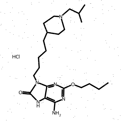 CCCCOc1nc(N)c2[nH]c(=O)n(CCCCCC3CCN(CC(C)C)CC3)c2n1.Cl